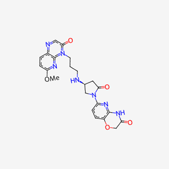 COc1ccc2ncc(=O)n(CCCN[C@H]3CC(=O)N(c4ccc5c(n4)NC(=O)CO5)C3)c2n1